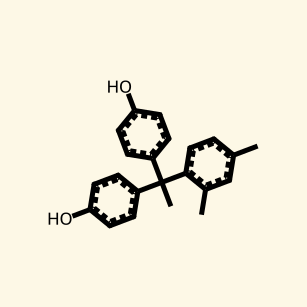 Cc1ccc(C(C)(c2ccc(O)cc2)c2ccc(O)cc2)c(C)c1